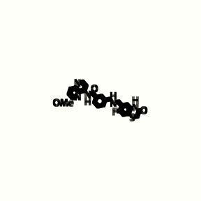 COc1ccc2nccc(NC(=O)C3CCCC(CNCc4cc5c(cc4F)SCC(=O)N5)C3)c2n1